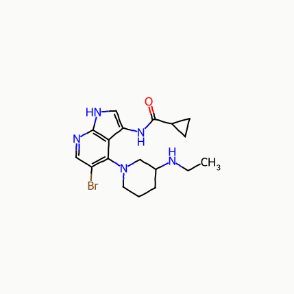 CCNC1CCCN(c2c(Br)cnc3[nH]cc(NC(=O)C4CC4)c23)C1